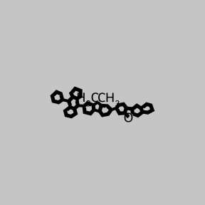 CC1(C)c2cc(-c3ccc4c(c3)oc3cc5ccccc5cc34)ccc2-c2ccc(-c3c4ccccc4c(-c4ccccc4)c4ccccc34)cc21